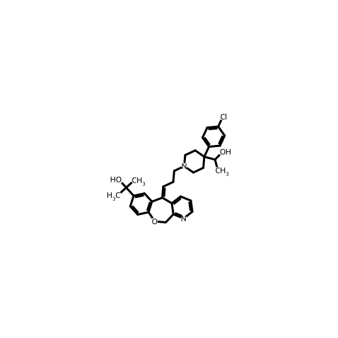 CC(O)C1(c2ccc(Cl)cc2)CCN(CCC=C2c3cc(C(C)(C)O)ccc3OCc3ncccc32)CC1